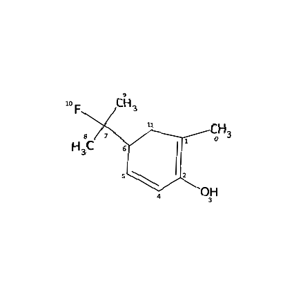 CC1=C(O)C=CC(C(C)(C)F)C1